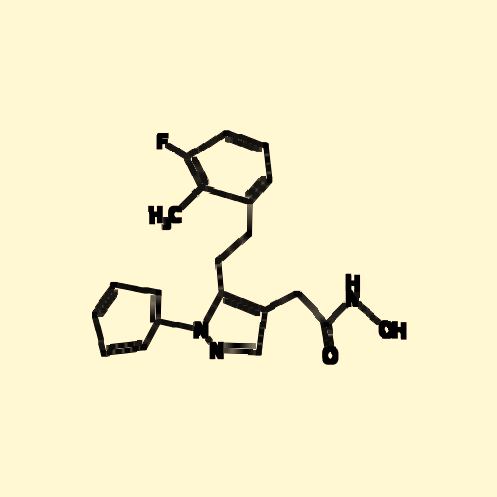 Cc1c(F)cccc1CCc1c(CC(=O)NO)cnn1-c1ccccc1